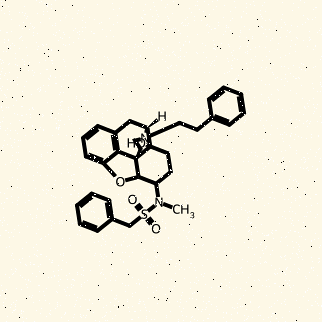 CN(C1CC[C@@]2(O)[C@H]3Cc4cccc5c4[C@@]2(CCN3CCc2ccccc2)C1O5)S(=O)(=O)Cc1ccccc1